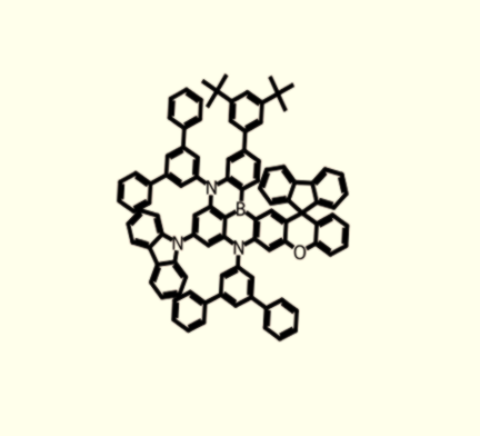 CC(C)(C)c1cc(-c2ccc3c(c2)N(c2cc(-c4ccccc4)cc(-c4ccccc4)c2)c2cc(-n4c5ccccc5c5ccccc54)cc4c2B3c2cc3c(cc2N4c2cc(-c4ccccc4)cc(-c4ccccc4)c2)Oc2ccccc2C32c3ccccc3-c3ccccc32)cc(C(C)(C)C)c1